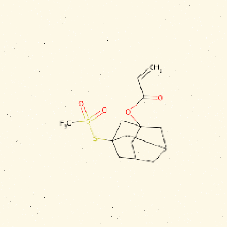 C=CC(=O)OC12CC3CC(C1)CC(SS(=O)(=O)C(F)(F)F)(C3)C2